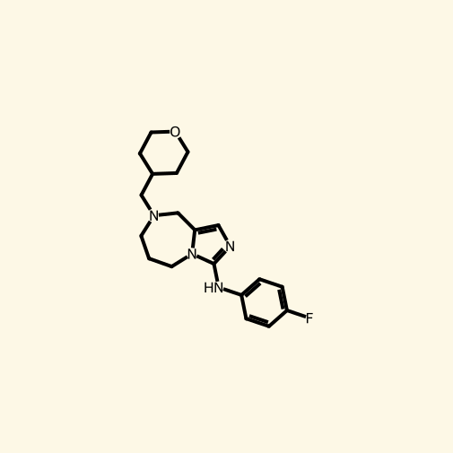 Fc1ccc(Nc2ncc3n2CCCN(CC2CCOCC2)C3)cc1